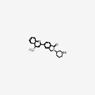 Cc1cc(-c2ccc3c(c2)CN(C2CCCNC2)C3=O)nc2ccccc12